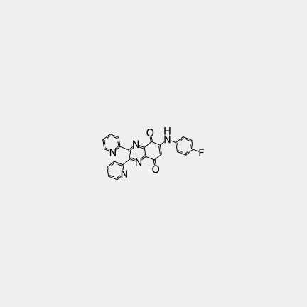 O=C1C=C(Nc2ccc(F)cc2)C(=O)c2nc(-c3ccccn3)c(-c3ccccn3)nc21